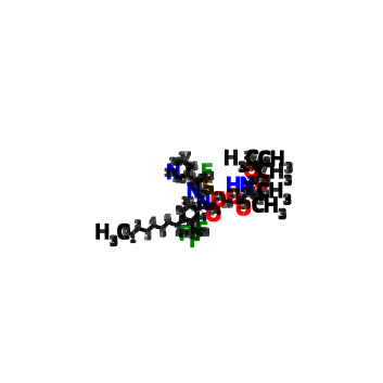 CCCCCCCCc1ccc(N(C(=O)OCOC(=O)C(NC(=O)OC(C)(C)C)C(C)C)c2nc(-c3cccnc3)c(F)s2)cc1C(F)(F)F